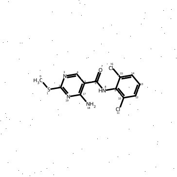 CSc1ncc(C(=O)Nc2c(Cl)cccc2Cl)c(N)n1